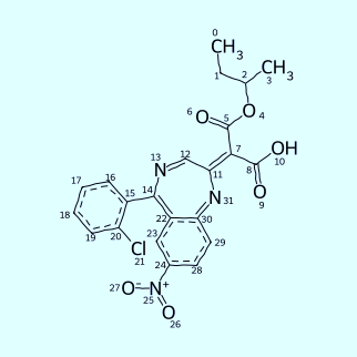 CCC(C)OC(=O)C(C(=O)O)=C1C=NC(c2ccccc2Cl)=c2cc([N+](=O)[O-])ccc2=N1